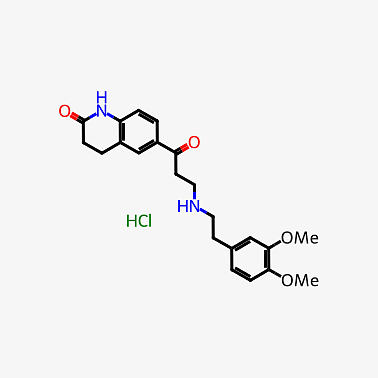 COc1ccc(CCNCCC(=O)c2ccc3c(c2)CCC(=O)N3)cc1OC.Cl